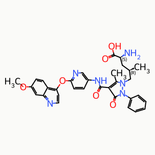 COc1ccc2c(Oc3ccc(NC(=O)c4c(C)n(C[C@H](C)C[C@H](N)C(=O)O)n(-c5ccccc5)c4=O)cn3)ccnc2c1